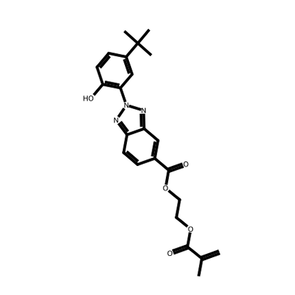 C=C(C)C(=O)OCCOC(=O)c1ccc2nn(-c3cc(C(C)(C)C)ccc3O)nc2c1